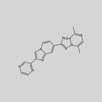 Cc1ncc(C)n2nc(-c3ccn4cc(-c5cnccn5)nc4c3)nc12